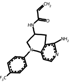 C=CC(=O)NC1Cc2c(ccnc2N)N(c2ccc(C(F)(F)F)cc2)C1